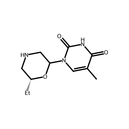 CC[C@@H]1CNCC(n2cc(C)c(=O)[nH]c2=O)O1